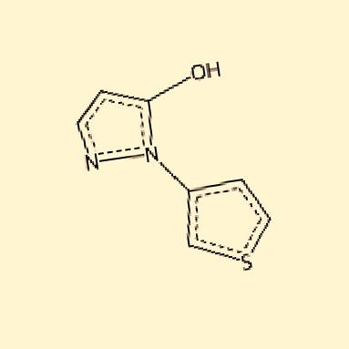 Oc1ccnn1-c1ccsc1